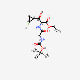 CCOC(=O)C(NC(=O)CNC(=O)OC(C)(C)C)C(=O)C1CC1F